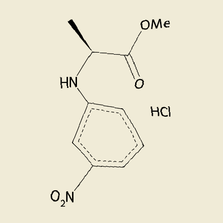 COC(=O)[C@H](C)Nc1cccc([N+](=O)[O-])c1.Cl